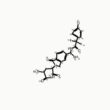 BC1CC(N2Cc3cc(C(B)NC(=O)C(F)(F)c4ccc(Cl)cc4)ccc3C2=O)C(=O)NC1=O